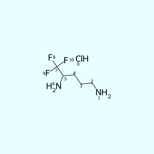 Cl.NCCCC(N)C(F)(F)F